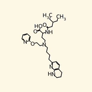 CCC(CC)CC(=O)NC(CCN(CCCCc1ccc2c(n1)NCCC2)CCOc1ccccn1)C(=O)O